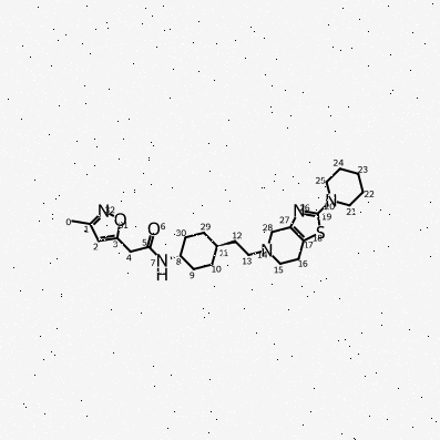 Cc1cc(CC(=O)N[C@H]2CC[C@H](CCN3CCc4sc(N5CCCCC5)nc4C3)CC2)on1